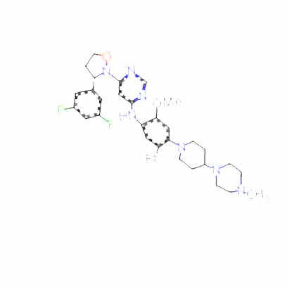 CCc1cc(Nc2cc(N3OCC[C@@H]3c3cc(F)cc(F)c3)ncn2)c(OC)cc1N1CCC(N2CCN(C)CC2)CC1